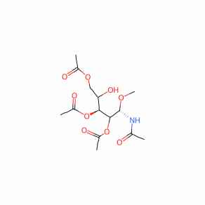 CO[C@H](NC(C)=O)C(OC(C)=O)[C@@H](OC(C)=O)C(O)COC(C)=O